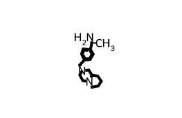 C[C@H](N)c1ccc(CN2CCN3CCCCC3C2)cc1